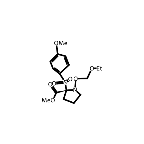 CCOCON1CCC[C@]1(C(=O)OC)S(=O)(=O)c1ccc(OC)cc1